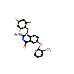 CC(=O)Nc1nc(=O)c2cc(Oc3ncccc3C(F)(F)F)ccc2n1Cc1c(F)cc(F)cc1F